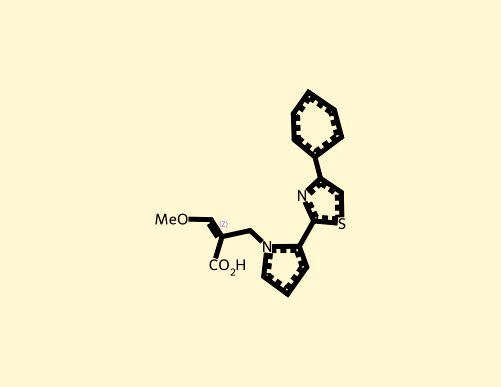 CO/C=C(/Cn1cccc1-c1nc(-c2ccccc2)cs1)C(=O)O